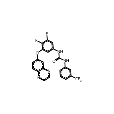 O=C(Nc1cccc(C(F)(F)F)c1)Nc1cc(F)c(F)c(Oc2ccc3nccnc3c2)c1